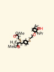 CCCc1c(OCCCSc2ccc(CC(SCCC(=O)OC)C(C)C(=O)OC)cc2)ccc(C(C)=O)c1O